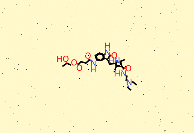 CCN(CC)CCNC(=O)c1c(C)[nH]c(/C=C2\C(=O)Nc3ccc(NC(=O)CCC(=O)OCC(C)O)cc32)c1C